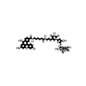 O=C(CCCCCNC(=O)c1ccc(C(=O)O)c(-c2c3ccc(=O)cc-3oc3cc(O)ccc23)c1)NC/C=C/c1cn([C@H]2C[C@H](O)[C@@H](COP(=O)(O)OP(=O)(O)OP(=O)(O)O)O2)c(=O)[nH]c1=O